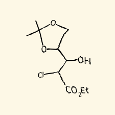 CCOC(=O)C(Cl)C(O)C1COC(C)(C)O1